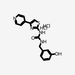 Cl.Cl.O=C(NCc1cccc(O)c1)Nc1nc(-c2ccncc2)cs1